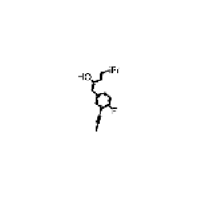 CC#Cc1cc(/C=C(O)\C=C\C(C)C)ccc1F